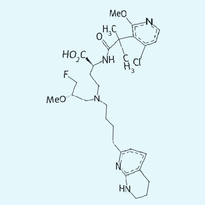 COc1nccc(Cl)c1C(C)(C)C(=O)N[C@@H](CCN(CCCCc1ccc2c(n1)NCCC2)C[C@@H](CF)OC)C(=O)O